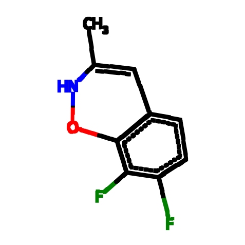 CC1=Cc2ccc(F)c(F)c2ON1